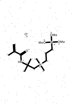 C=C(C)C(=O)NC(C)(C)C[N+](C)(C)CCC[Si](OC)(OC)OC.[Cl-]